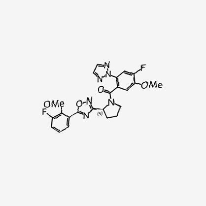 COc1cc(C(=O)N2CCC[C@H]2c2noc(-c3cccc(F)c3OC)n2)c(-n2nccn2)cc1F